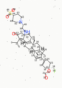 CC(C)C1=C2[C@H]3CC[C@@H]4[C@@]5(C)CC=C(C6=CC[C@](CF)(OC=O)CC6)C(C)(C)[C@@H]5CC[C@@]4(C)[C@]3(C)CC[C@@]2(NCCN2CCC(S(C)(=O)=O)CC2)CC1=O